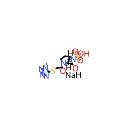 Cn1nnnc1SCC(=O)N1CC[C@@H]2[C@H]1C(=O)N2S(=O)(=O)O.[NaH]